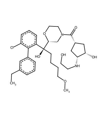 CCc1cccc(-c2c(Cl)cccc2[C@@](O)(CCCCOC)[C@H]2CN(C(=O)[C@@H]3C[C@H](O)[C@H](NCCO)C3)CCO2)c1